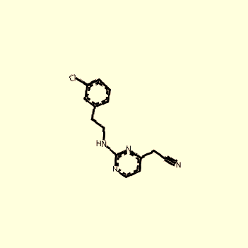 N#CCc1ccnc(NCCc2cccc(Cl)c2)n1